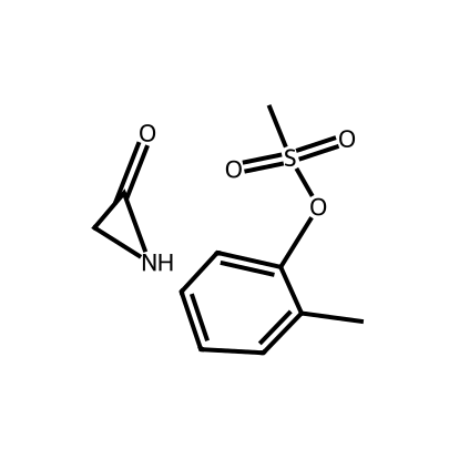 Cc1ccccc1OS(C)(=O)=O.O=C1CN1